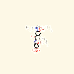 CCOc1ccc(C(=O)/C(=C/c2cc3c(cc2OC)OCO3)CC)cc1N(C)C